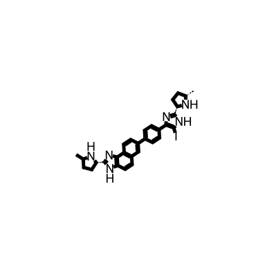 CC1CC[C@@H](c2nc3c(ccc4cc(-c5ccc(-c6nc([C@@H]7CC[C@H](C)N7)[nH]c6I)cc5)ccc43)[nH]2)N1